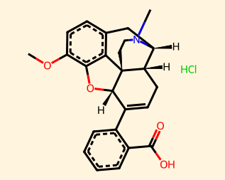 COc1ccc2c3c1O[C@H]1C(c4ccccc4C(=O)O)=CC[C@H]4[C@@H](C2)N(C)CC[C@]314.Cl